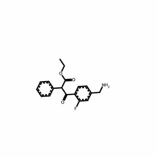 CCOC(=O)C(C(=O)c1ccc(CN)cc1F)c1ccccc1